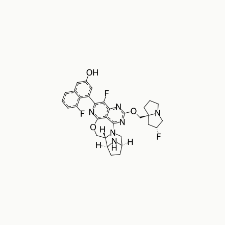 Oc1cc(-c2nc3c4c(nc(OC[C@@]56CCCN5C[C@H](F)C6)nc4c2F)N2C[C@H]4CC[C@H](N4)[C@@H]2CO3)c2c(F)cccc2c1